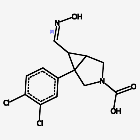 O=C(O)N1CC2C(/C=N\O)C2(c2ccc(Cl)c(Cl)c2)C1